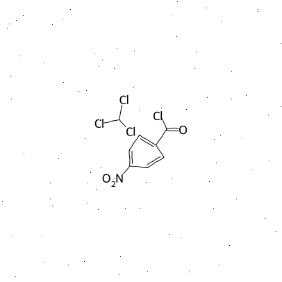 ClC(Cl)Cl.O=C(Cl)c1ccc([N+](=O)[O-])cc1